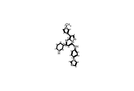 Cn1ccc(-c2cnn3c(Nc4ccc(-n5ccnc5)cc4)cc(C4CCCNC4)nc23)c1